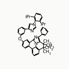 CC(C)c1cccc(C(C)C)c1-n1cnc(-c2cccc(Oc3ccc4c(c3)c3nc(-c5ccccc5)c5n3c3c(cccc43)C(C)(C)C5(C)C)c2)c1